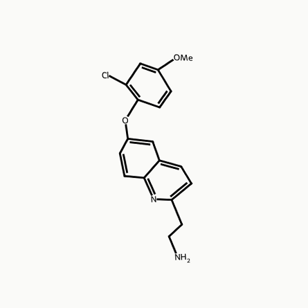 COc1ccc(Oc2ccc3nc(CCN)ccc3c2)c(Cl)c1